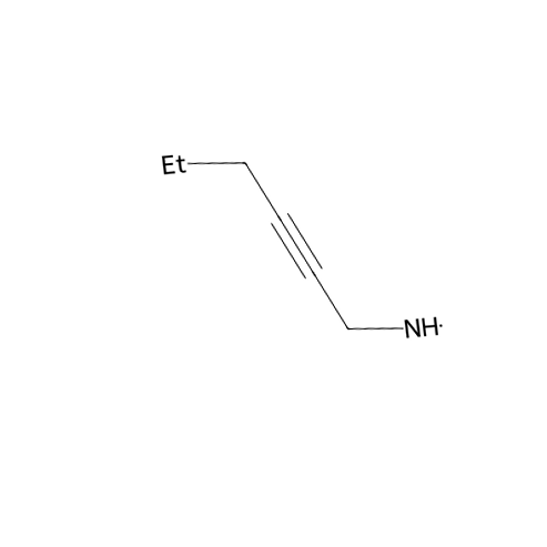 CCCC#CC[NH]